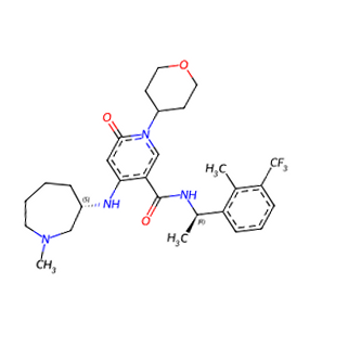 Cc1c([C@@H](C)NC(=O)c2cn(C3CCOCC3)c(=O)cc2N[C@H]2CCCCN(C)C2)cccc1C(F)(F)F